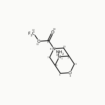 NN1C2COCC1CN(C(=O)OC(F)(F)F)C2